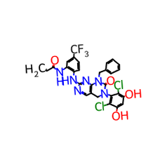 C=CC(=O)Nc1cc(C(F)(F)F)ccc1Nc1ncc2c(n1)N(Cc1ccccc1)C(=O)N(c1c(Cl)c(O)cc(O)c1Cl)C2